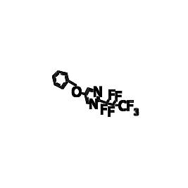 FC(F)(F)C(F)(F)C(F)(F)c1ncc(OCc2ccccc2)cn1